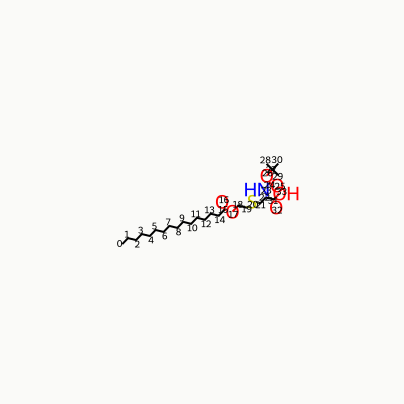 CCCCCCCCCCCCCCCC(=O)OCCSCC(NC(=O)OC(C)(C)C)C(=O)O